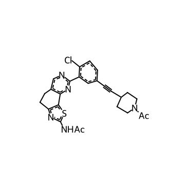 CC(=O)Nc1nc2c(s1)-c1nc(-c3cc(C#CC4CCN(C(C)=O)CC4)ccc3Cl)ncc1CC2